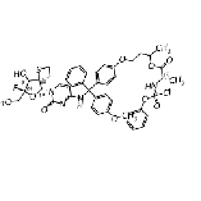 COc1ccc(C(Nc2ccn([C@@H]3O[C@](F)(CO)[C@@H](O)[C@]34CCS4)c(=O)n2)(c2ccccc2)c2ccc(OCCC(C)OC(=O)[C@H](C)NP(=O)(Cl)Oc3ccccc3)cc2)cc1